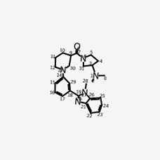 CN(C)C1CCN(C(=O)C2CCCN(c3cccc(-c4nc5ccccc5n4C)c3)C2)C1